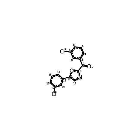 O=C(c1cccc(Cl)c1)c1ncc(-c2cccc(Cl)c2)o1